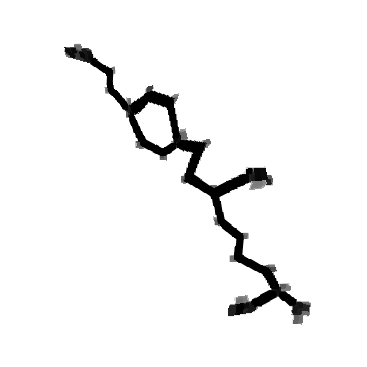 COCCN1CCN(CCC(N)CCCCB(O)O)CC1